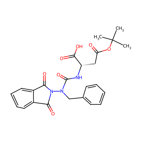 CC(C)(C)OC(=O)C[C@H](NC(=O)N(Cc1ccccc1)N1C(=O)c2ccccc2C1=O)C(=O)O